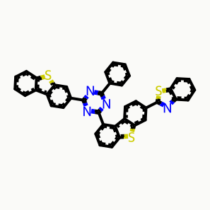 c1ccc(-c2nc(-c3ccc4c(c3)sc3ccccc34)nc(-c3cccc4sc5cc(-c6nc7ccccc7s6)ccc5c34)n2)cc1